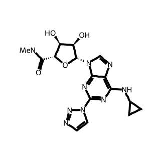 CNC(=O)[C@H]1O[C@@H](n2cnc3c(NC4CC4)nc(-n4ccnn4)nc32)[C@H](O)[C@@H]1O